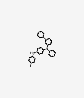 Cc1ccc(Nc2ccc(N(c3ccccc3)c3cccc(-c4ccccc4)c3)cc2)cc1